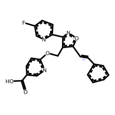 O=C(O)c1ccc(OCc2c(-c3ccc(F)cn3)noc2/C=C/c2ccccc2)nc1